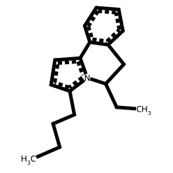 CCCCc1ccc2n1C(CC)Cc1ccccc1-2